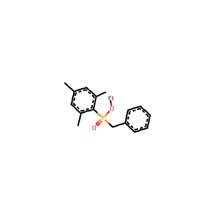 CCOP(=O)(Cc1ccccc1)c1c(C)cc(C)cc1C